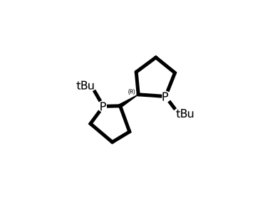 CC(C)(C)P1CCCC1[C@H]1CCCP1C(C)(C)C